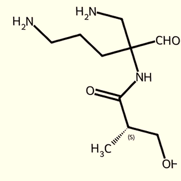 C[C@@H](CO)C(=O)NC(C=O)(CN)CCCN